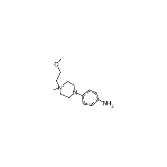 COCC[N+]1(C)CCN(c2ccc(N)cc2)CC1